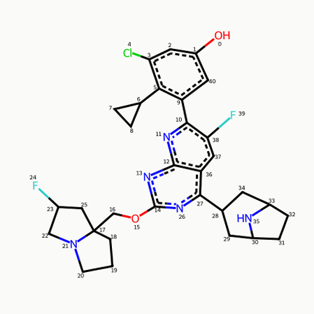 Oc1cc(Cl)c(C2CC2)c(-c2nc3nc(OCC45CCCN4CC(F)C5)nc(C4CC5CCC(C4)N5)c3cc2F)c1